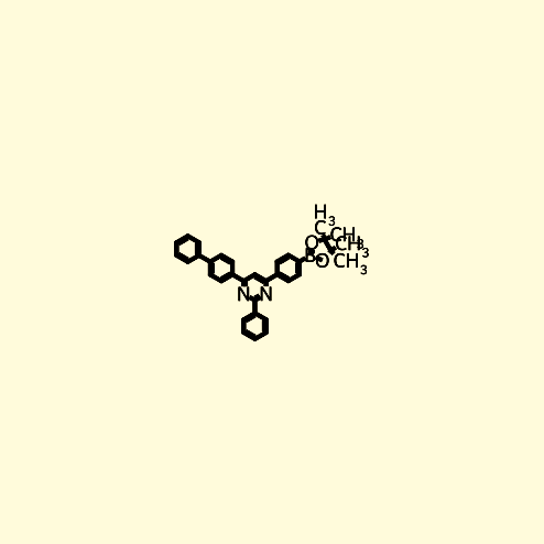 CC1(C)OB(c2ccc(-c3cc(-c4ccc(-c5ccccc5)cc4)nc(-c4ccccc4)n3)cc2)OC1(C)C